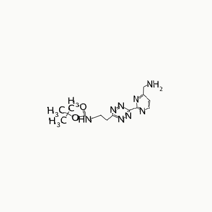 CC(C)(C)OC(=O)NCCc1nnc(-c2nccc(CN)n2)nn1